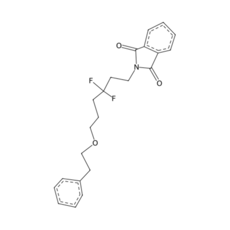 O=C1c2ccccc2C(=O)N1CCC(F)(F)CCCOCCc1ccccc1